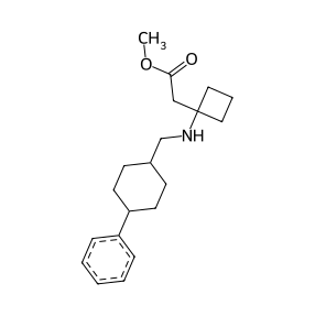 COC(=O)CC1(NCC2CCC(c3ccccc3)CC2)CCC1